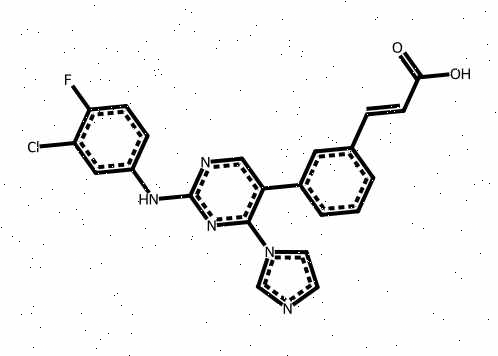 O=C(O)C=Cc1cccc(-c2cnc(Nc3ccc(F)c(Cl)c3)nc2-n2ccnc2)c1